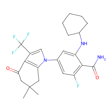 CC1(C)CC(=O)c2c(C(F)(F)F)cn(-c3cc(F)c(C(N)=O)c(NC4CCCCC4)c3)c2C1